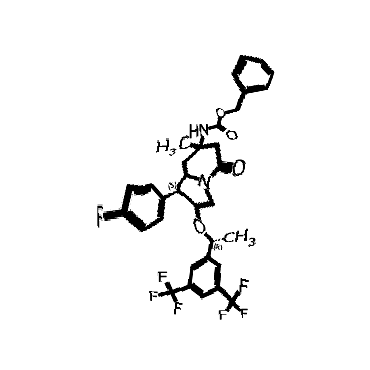 C[C@@H](OC1CN2C(=O)CC(C)(NC(=O)OCc3ccccc3)CC2[C@@H]1c1ccc(F)cc1)c1cc(C(F)(F)F)cc(C(F)(F)F)c1